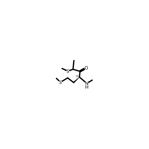 CN[C@@H](CCSC)C(=O)C(C)SC